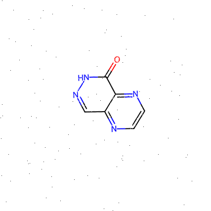 O=c1[nH]ncc2nccnc12